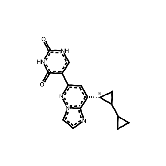 O=c1[nH]cc(-c2cc([C@@H]3CC3C3CC3)c3nccn3n2)c(=O)[nH]1